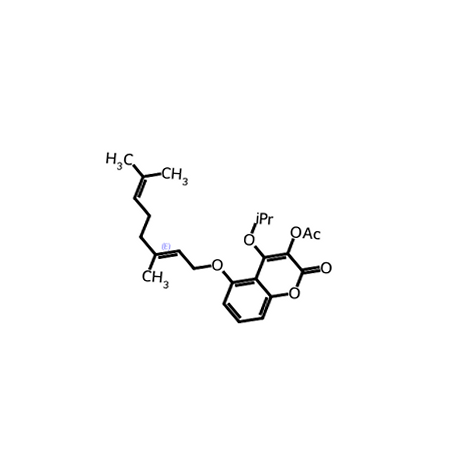 CC(=O)Oc1c(OC(C)C)c2c(OC/C=C(\C)CCC=C(C)C)cccc2oc1=O